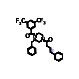 O=C(C/C=C/c1ccccc1)N1CCN(C(=O)c2cc(C(F)(F)F)cc(C(F)(F)F)c2)[C@H](Cc2ccccc2)C1